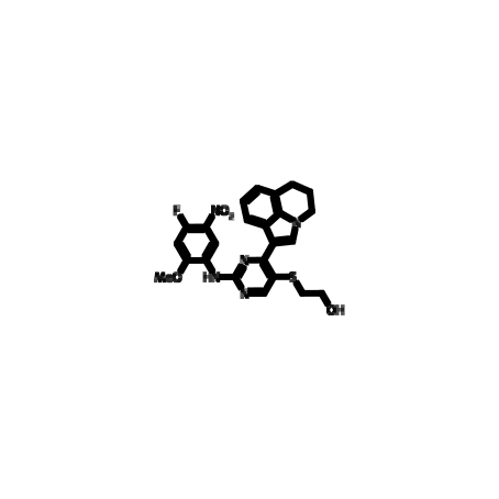 COc1cc(F)c([N+](=O)[O-])cc1Nc1ncc(SCCO)c(-c2cn3c4c(cccc24)CCC3)n1